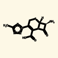 Cc1nnn(C2=C(C(=O)O)N3C(=O)[C@@H](N)[C@H]3SC2)n1